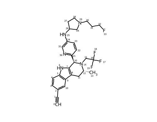 C#Cc1ccc2[nH]c3c(c2c1)C[C@@H](C)N(CC(F)(F)F)[C@@H]3c1ccc(NC2CCN(CCCF)C2)cn1